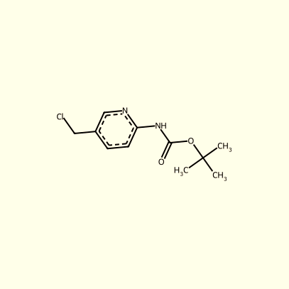 CC(C)(C)OC(=O)Nc1ccc(CCl)cn1